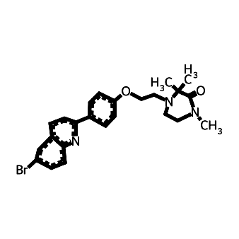 CN1CCN(CCOc2ccc(-c3ccc4cc(Br)ccc4n3)cc2)C(C)(C)C1=O